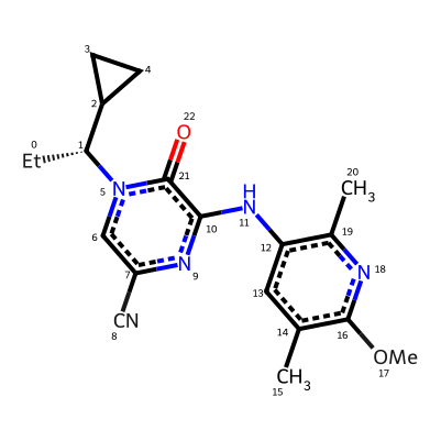 CC[C@H](C1CC1)n1cc(C#N)nc(Nc2cc(C)c(OC)nc2C)c1=O